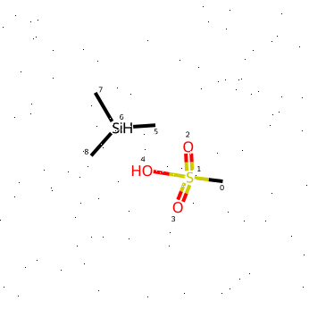 CS(=O)(=O)O.C[SiH](C)C